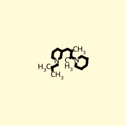 CC(C)CN1CCCC(CC(C)C(C)N2CCCCC2)C1